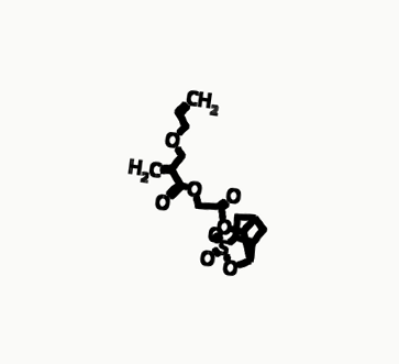 C=CCOCC(=C)C(=O)OCC(=O)OC1C2CC3C1OS(=O)(=O)C3C2